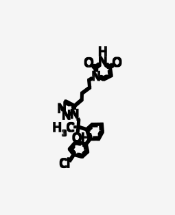 C[C@@](O)(Cn1nncc1CCCCn1ccc(=O)[nH]c1=O)c1ccccc1-c1ccc(Cl)cc1